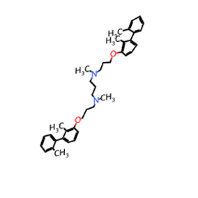 Cc1ccccc1-c1cccc(OCCCN(C)CCCN(C)CCCOc2cccc(-c3ccccc3C)c2C)c1C